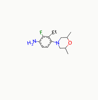 CCc1c(N2CC(C)OC(C)C2)ccc(N)c1F